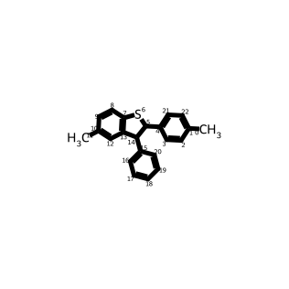 Cc1ccc(C2Sc3ccc(C)cc3C2c2ccccc2)cc1